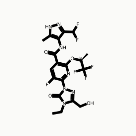 CCn1c(CO)nn(-c2nc(O[C@@H](C)C(F)(F)F)c(C(=O)Nc3c(C(F)F)n[nH]c3C)cc2F)c1=O